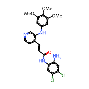 COc1cc(Nc2cnccc2/C=C/C(=O)Nc2cc(Cl)c(Cl)cc2N)cc(OC)c1OC